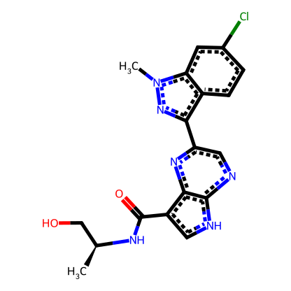 C[C@@H](CO)NC(=O)c1c[nH]c2ncc(-c3nn(C)c4cc(Cl)ccc34)nc12